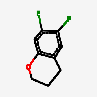 Fc1cc2c(cc1F)OCCC2